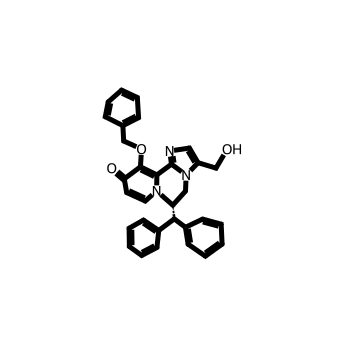 O=c1ccn2c(c1OCc1ccccc1)-c1ncc(CO)n1C[C@@H]2C(c1ccccc1)c1ccccc1